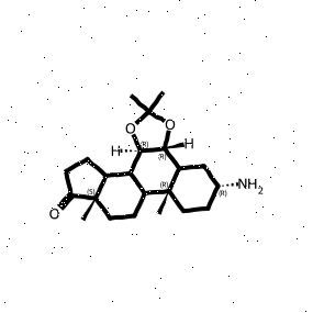 CC1(C)O[C@@H]2C3C(CC[C@]4(C)C(=O)CCC34)[C@@]3(C)CC[C@@H](N)CC3[C@H]2O1